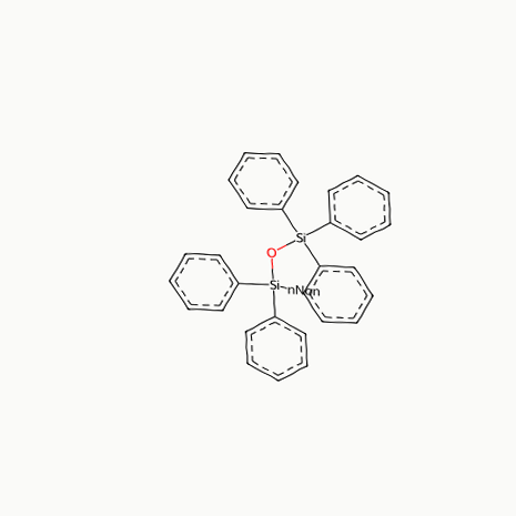 [CH2]CCCCCCCC[Si](O[Si](c1ccccc1)(c1ccccc1)c1ccccc1)(c1ccccc1)c1ccccc1